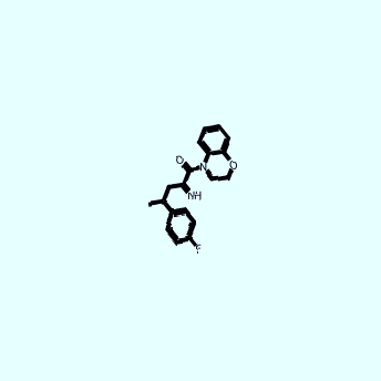 CC(CC(=N)C(=O)N1CCOc2ccccc21)c1ccc(F)cc1